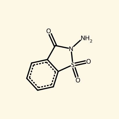 NN1C(=O)c2ccccc2S1(=O)=O